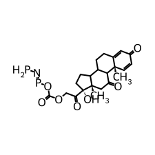 C[C@]12C=CC(=O)C=C1CCC1C2C(=O)C[C@@]2(C)C1CC[C@]2(O)C(=O)COC(=O)O/P=N/P